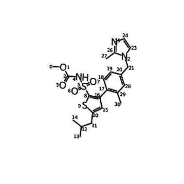 COC(=O)NS(=O)(=O)c1sc(CC(C)C)cc1-c1ccc(Cn2ccnc2C)cc1C